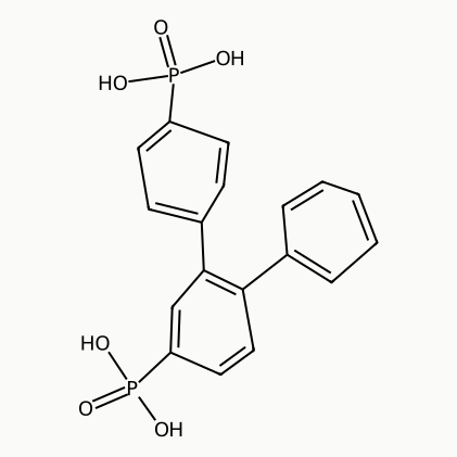 O=P(O)(O)c1ccc(-c2cc(P(=O)(O)O)ccc2-c2ccccc2)cc1